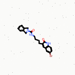 O=C(NCCCCc1cc2cc(Br)ccc2[nH]c1=O)N1Cc2ccccc2C1